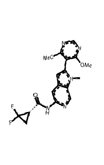 COc1ncnc(OC)c1-c1cc2cc(NC(=O)[C@@H]3CC3(F)F)ncc2n1C